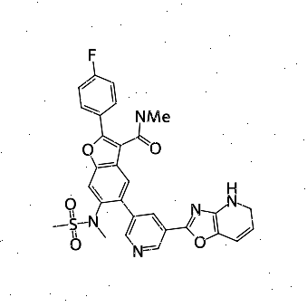 CNC(=O)c1c(-c2ccc(F)cc2)oc2cc(N(C)S(C)(=O)=O)c(-c3cncc(-c4nc5c(o4)C=CCN5)c3)cc12